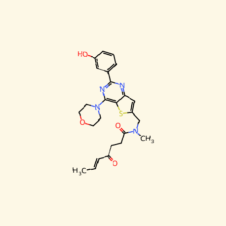 CC=CC(=O)CCC(=O)N(C)Cc1cc2nc(-c3cccc(O)c3)nc(N3CCOCC3)c2s1